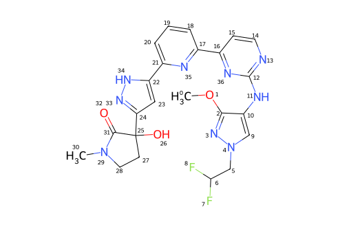 COc1nn(CC(F)F)cc1Nc1nccc(-c2cccc(-c3cc(C4(O)CCN(C)C4=O)n[nH]3)n2)n1